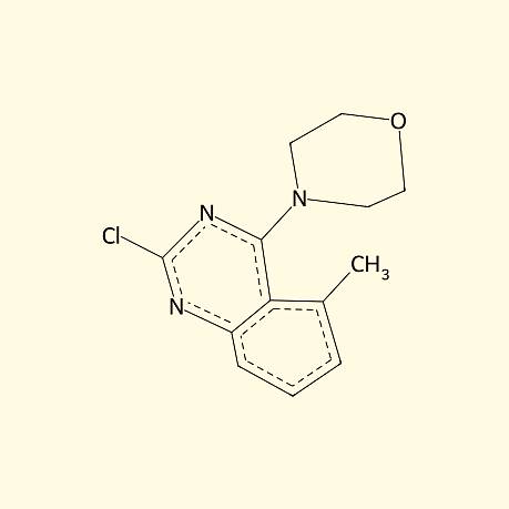 Cc1cccc2nc(Cl)nc(N3CCOCC3)c12